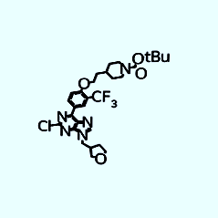 CC(C)(C)OC(=O)N1CCC(CCOc2ccc(-c3nc(Cl)nc4c3ncn4CC3CCOC3)cc2C(F)(F)F)CC1